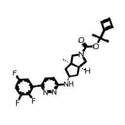 CC(C)(OC(=O)N1C[C@H]2C[C@H](Nc3ccc(-c4cc(F)cc(F)c4F)nn3)C[C@@]2(C)C1)C1=CC=C1